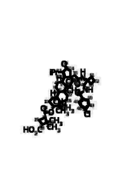 CC(C)C1=C2[C@H]3CC[C@@H]4[C@@]5(C)CC[C@H](OC(=O)[C@H]6C[C@@H](C(=O)O)C6(C)C)C(C)(C)[C@@H]5CC[C@@]4(C)[C@]3(C)CC[C@@]2(CC(=O)NC2(CNC(=O)c3ccc(Cl)cc3)CCC2)CC1=O